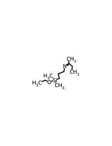 CCO[Si](C)(C)CCC/N=C(/C)CC